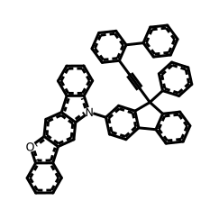 C(#CC1(c2ccccc2)c2ccccc2-c2ccc(-n3c4ccccc4c4cc5oc6ccccc6c5cc43)cc21)c1ccccc1-c1ccccc1